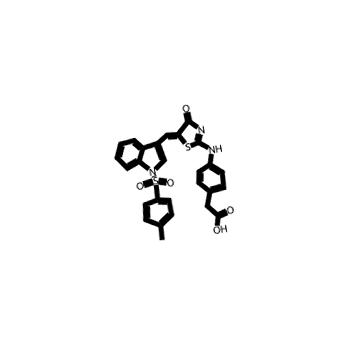 Cc1ccc(S(=O)(=O)n2cc(/C=C3\SC(Nc4ccc(CC(=O)O)cc4)=NC3=O)c3ccccc32)cc1